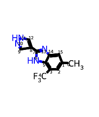 Cc1cc(C(F)(F)F)c2[nH]c(-c3cn[nH]c3)nc2c1